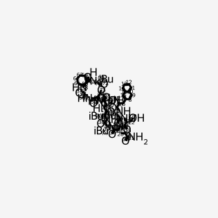 CC[C@H](C)[C@H](NC(=O)[C@@H](Cc1ccc2ccccc2c1)NC)C(=O)N[C@@H](CO)C(=O)N[C@H](CCC(N)=O)C(=O)N[C@@H](C(=O)N[C@H](C(=O)N[C@@H](CO)C(=O)N[C@H]1C(=O)N[C@@H](C)C(=O)NC2(CCCCCC2)C(=O)N[C@@H]([C@@H](C)CC)C(=O)O[C@H]1C)[C@@H](C)CC)[C@@H](C)CC